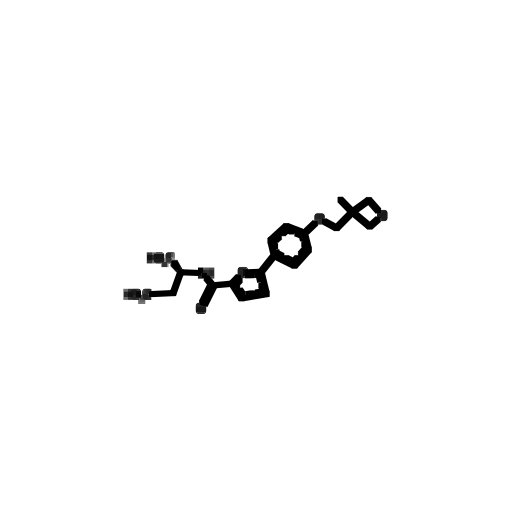 CC1(COc2ccc(-c3ccc(C(=O)N[C@@H](CC(=O)O)C(=O)O)o3)cc2)COC1